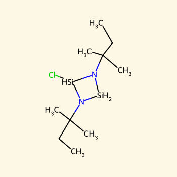 CCC(C)(C)N1[SiH2]N(C(C)(C)CC)[SiH]1Cl